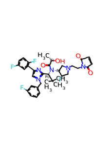 C[C@H](O)C(=O)N([C@@H]1CN(CCN2C(=O)C=CC2=O)C[C@@H]1F)[C@@H](c1nc(-c2cc(F)ccc2F)cn1Cc1cccc(F)c1)C(C)(C)C